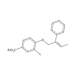 CC=C(COc1ccc(C(=O)OCC)cc1I)c1ccccc1